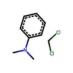 CN(C)c1ccccc1.ClCCl